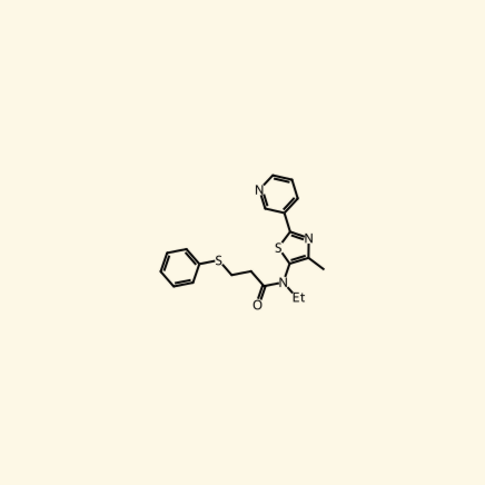 CCN(C(=O)CCSc1ccccc1)c1sc(-c2cccnc2)nc1C